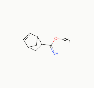 COC(=N)C1CC2C=CC1C2